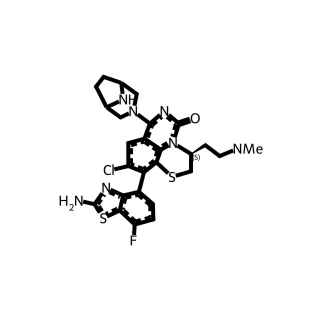 CNCC[C@H]1CSc2c(-c3ccc(F)c4sc(N)nc34)c(Cl)cc3c(N4CC5CCC(C4)N5)nc(=O)n1c23